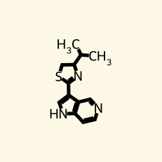 CC(C)C1CSC(c2c[nH]c3ccncc23)=N1